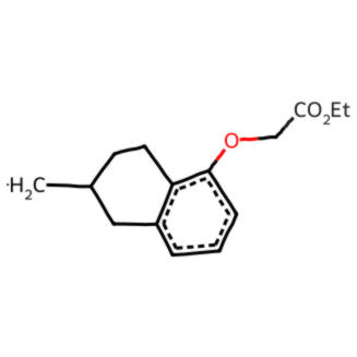 [CH2]C1CCc2c(cccc2OCC(=O)OCC)C1